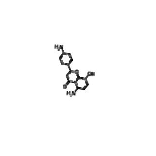 Nc1ccc(-c2cc(=O)c3c(N)ccc(O)c3o2)cc1